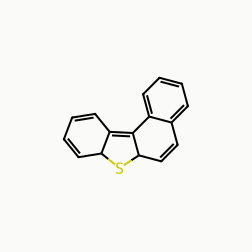 C1=CC2=C3c4ccccc4C=CC3SC2C=C1